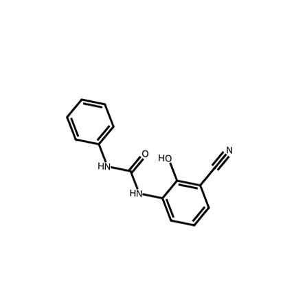 N#Cc1cccc(NC(=O)Nc2ccccc2)c1O